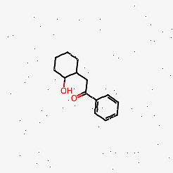 O=C(CC1CCCCC1O)c1ccccc1